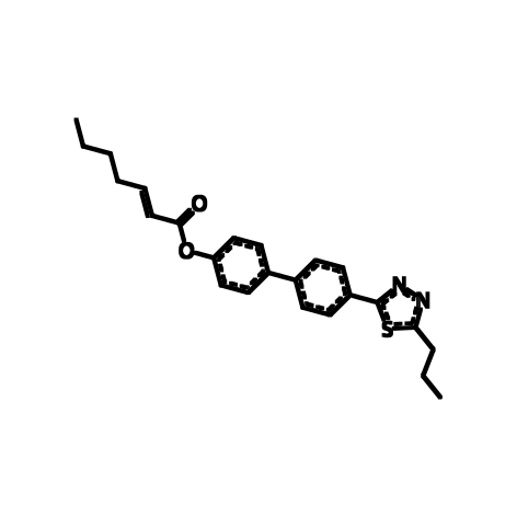 CCCCC=CC(=O)Oc1ccc(-c2ccc(-c3nnc(CCC)s3)cc2)cc1